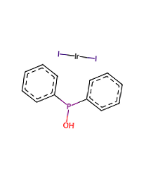 OP(c1ccccc1)c1ccccc1.[I][Ir][I]